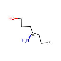 CC(C)CC[C@@H](N)CCCO